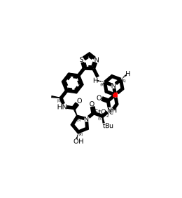 CCOC(=O)CN1C[C@H]2C[C@@H](C1)N2CC(=O)N[C@H](C(=O)N1C[C@H](O)C[C@H]1C(=O)N[C@@H](C)c1ccc(-c2scnc2C)cc1)C(C)(C)C